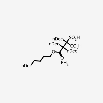 CCCCCCCCCCCCCCOC(=O)C(CCCCCCCCCC)(CCCCCCCCCC)C(CCCCCCCCCC)(C(=O)O)S(=O)(=O)O.P